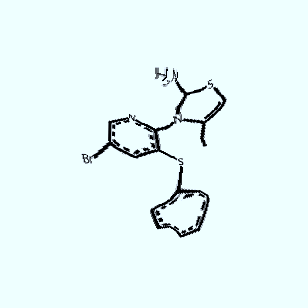 CC1=CSC(N)N1c1ncc(Br)cc1Sc1ccccc1